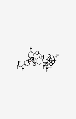 CC(F)(F)S(=O)(=O)N(C[C@@H]1CCC[C@@]2(S(=O)(=O)c3ccc(C(F)(F)F)cc3)c3c(F)ccc(F)c3OC[C@@H]12)S(=O)(=O)C(F)(F)F